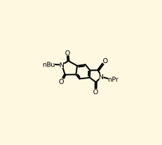 CCCCn1c(=O)c2cc3c(=O)n(CCC)c(=O)c3cc2c1=O